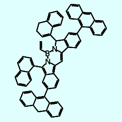 C=CB1N2C(=Cc3c4ccc(C5=C6C=CC=CC6Cc6ccccc65)cc4c(-c4cccc5ccccc45)n31)c1ccc(-c3c4ccccc4cc4ccccc34)cc1C2C1=CCCc2ccccc21